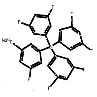 Fc1cc(F)cc([B-](c2cc(F)cc(F)c2)(c2cc(F)cc(F)c2)c2cc(F)cc(F)c2)c1.[NaH]